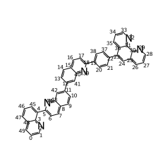 c1cnc2c(-c3ccc4ccc(-c5ccc6ccc(-c7ccc(-c8cc9cccnc9c9ncccc89)cc7)nc6c5)cc4n3)cccc2c1